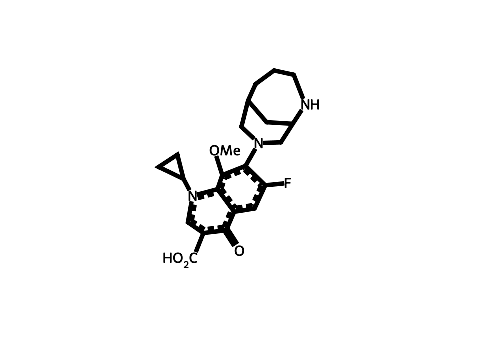 COc1c(N2CC3CCCNC(C3)C2)c(F)cc2c(=O)c(C(=O)O)cn(C3CC3)c12